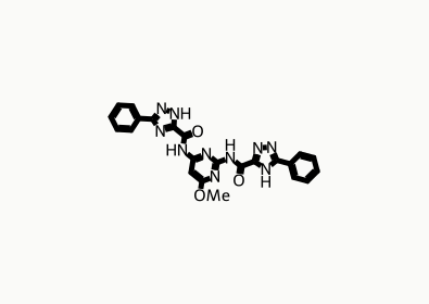 COc1cc(NC(=O)c2nc(-c3ccccc3)n[nH]2)nc(NC(=O)c2nnc(-c3ccccc3)[nH]2)n1